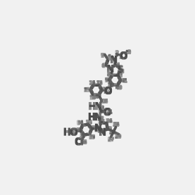 COCN1C(C)=CN2c3cc(Oc4ccccc4CNC(=O)Nc4cc(C(C)(C)C)nn4-c4ccc(O)c(Cl)c4)ccc3SC12